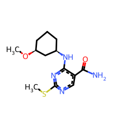 CO[C@H]1CCC[C@@H](Nc2nc(SC)ncc2C(N)=O)C1